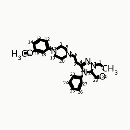 CCN1N=C(CCN2CCN(c3cccc(OC)c3)CC2)N(c2ccccc2)C1C=O